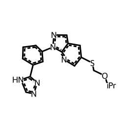 CC(C)OCSc1cnc2c(cnn2-c2cccc(-c3nnc[nH]3)c2)c1